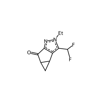 CCn1nc2c(c1C(F)F)C1CC1C2=O